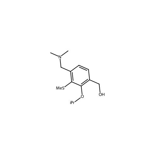 CSc1c(CN(C)C)ccc(CO)c1OC(C)C